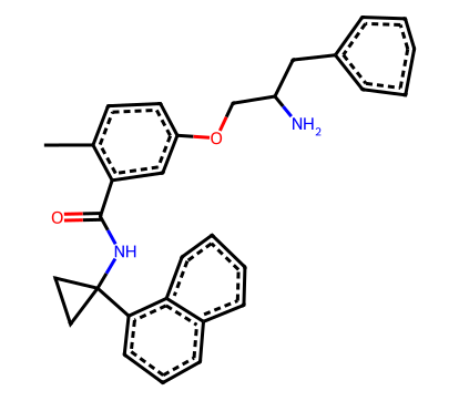 Cc1ccc(OCC(N)Cc2ccccc2)cc1C(=O)NC1(c2cccc3ccccc23)CC1